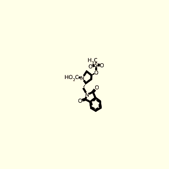 CS(=O)(=O)O[C@H]1C[C@H](CN2C(=O)c3ccccc3C2=O)N(C(=O)O)C1